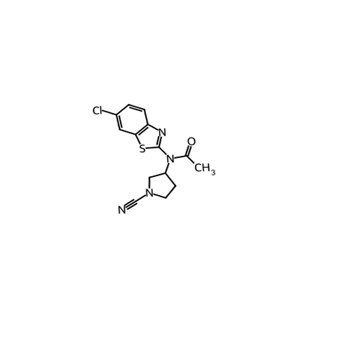 CC(=O)N(c1nc2ccc(Cl)cc2s1)C1CCN(C#N)C1